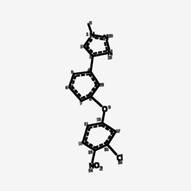 Cn1cc(-c2cccc(Oc3ccc([N+](=O)[O-])c(Cl)c3)c2)nn1